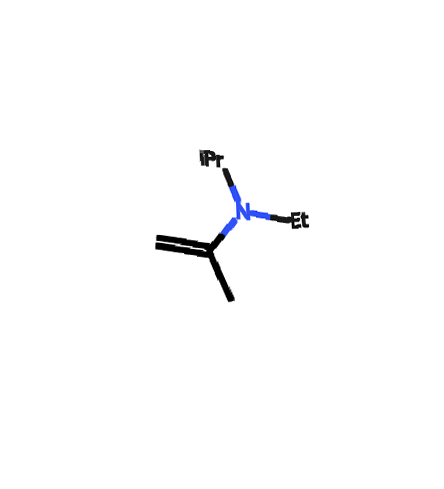 C=C(C)N(CC)C(C)C